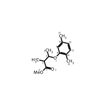 COC(=O)C(C)C(C)Oc1cc(C)ccc1C